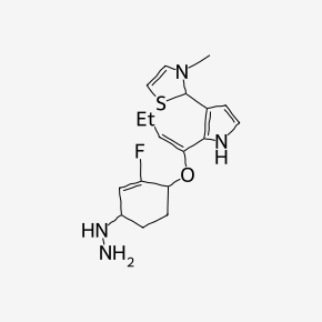 CC/C=C(/OC1CCC(NN)C=C1F)c1[nH]ccc1C1SC=CN1C